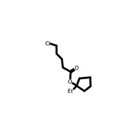 CCC1(OC(=O)CCCCCl)CCCC1